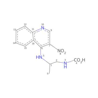 CC(CNC(=O)O)Nc1c([N+](=O)[O-])cnc2ccccc12